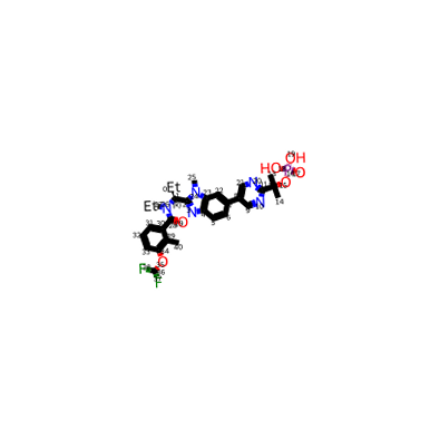 CC[C@H](c1nc2ccc(-c3cnc(C(C)(C)OP(=O)(O)O)nc3)cc2n1C)N(CC)C(=O)c1cccc(OC(F)F)c1C